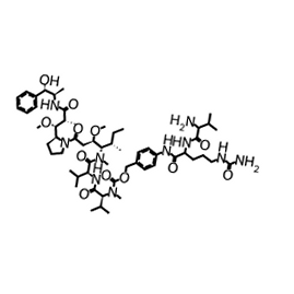 CC[C@H](C)[C@@H]([C@@H](CC(=O)N1CCC[C@H]1[C@H](OC)[C@@H](C)C(=O)N[C@H](C)[C@@H](O)c1ccccc1)OC)N(C)C(=O)[C@@H](NC(=O)[C@H](C(C)C)N(C)C(=O)OCc1ccc(NC(=O)C(CCCNC(N)=O)NC(=O)C(N)C(C)C)cc1)C(C)C